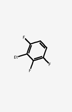 [CH2]Cc1c(F)ccc(F)c1F